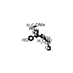 COC[C@H](C)Nc1ncc2c(-c3cnn(C(C)(C)c4nnc([C@H]5CCCO5)o4)c3)cc([C@H]3CC[C@H](O)CC3)n2n1